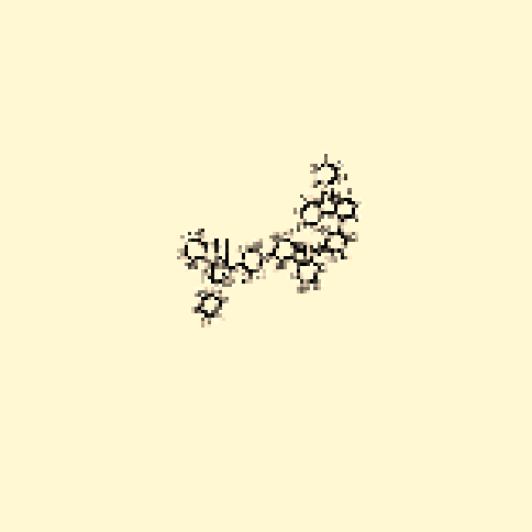 C1=CCCC(N2c3cccc(-c4cccc(NC5=C(C6=CC(C7=CC=C(C8N=C(c9ccccc9)N=C(C9=CCCC=C9)N8)CC7)=CCC6)CCC=C5)c4)c3C3CCC=CC32)=C1